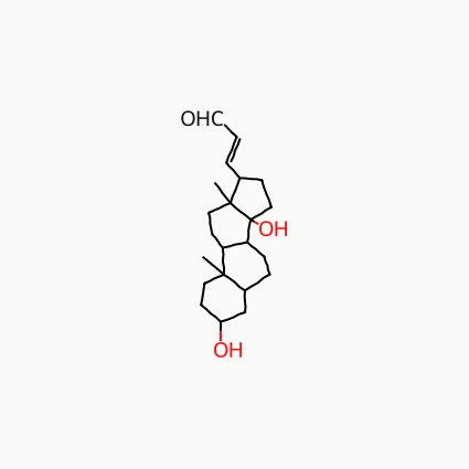 CC12CCC(O)CC1CCC1C2CCC2(C)C(/C=C/C=O)CCC12O